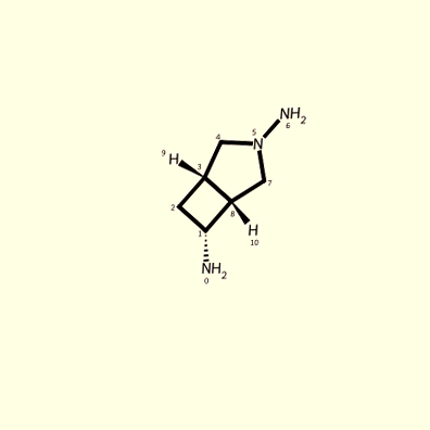 N[C@@H]1C[C@@H]2CN(N)C[C@@H]21